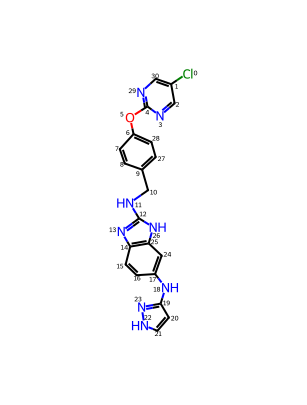 Clc1cnc(Oc2ccc(CNc3nc4ccc(Nc5cc[nH]n5)cc4[nH]3)cc2)nc1